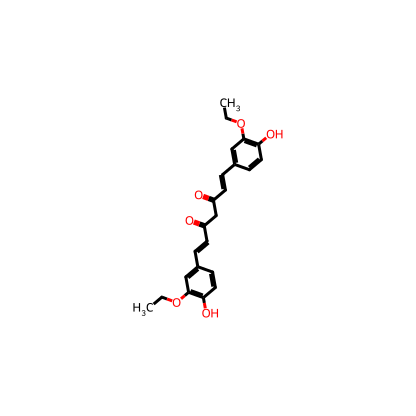 CCOc1cc(C=CC(=O)CC(=O)C=Cc2ccc(O)c(OCC)c2)ccc1O